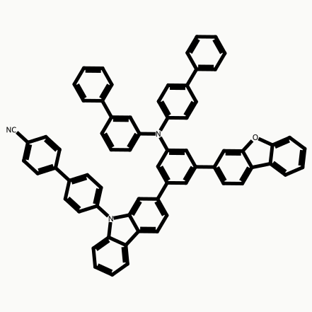 N#Cc1ccc(-c2ccc(-n3c4ccccc4c4ccc(-c5cc(-c6ccc7c(c6)oc6ccccc67)cc(N(c6ccc(-c7ccccc7)cc6)c6cccc(-c7ccccc7)c6)c5)cc43)cc2)cc1